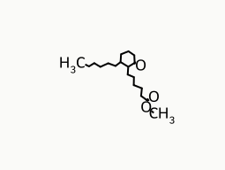 CCCCCCC1CCCC(=O)C1CCCCCC(=O)OC